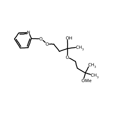 COC(C)(C)CCOC(C)(O)CCOOc1ccccn1